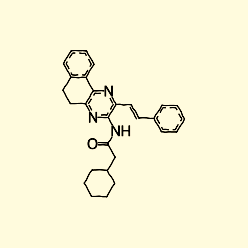 O=C(CC1CCCCC1)Nc1nc2c(nc1/C=C/c1ccccc1)-c1ccccc1CC2